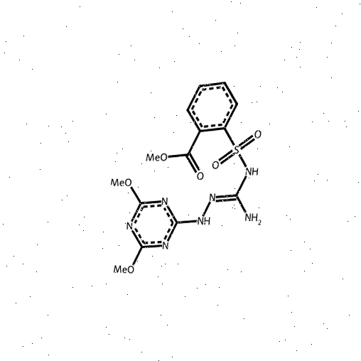 COC(=O)c1ccccc1S(=O)(=O)NC(N)=NNc1nc(OC)nc(OC)n1